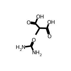 CC(C(=O)O)C(=O)O.NC(N)=O